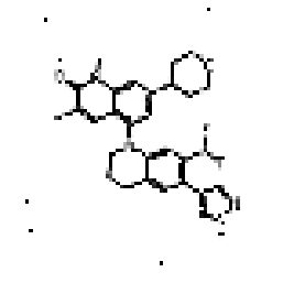 Cc1cc2c(N3CCCc4cc(-c5cn[nH]c5)c(C(F)F)cc43)cc(C3CCOCC3)cc2n(C)c1=O